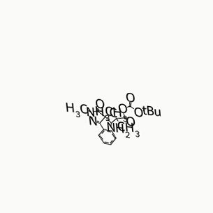 CN1N=C(c2ccccc2)C(C)(C(N)C(C)(C)C(=O)OC(=O)OC(C)(C)C)C1=O